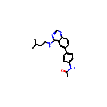 CC(=O)Nc1ccc(-c2ccc3ncnc(NCCC(C)C)c3c2)cc1